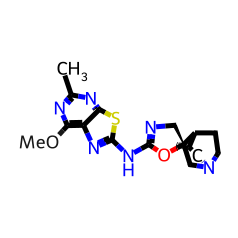 COc1nc(C)nc2sc(NC3=NC[C@@]4(CN5CCC4CC5)O3)nc12